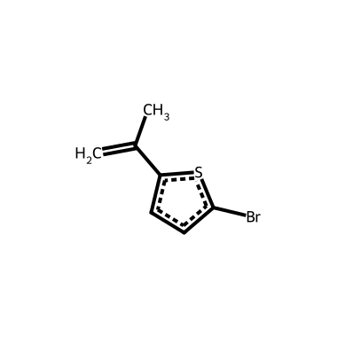 C=C(C)c1ccc(Br)s1